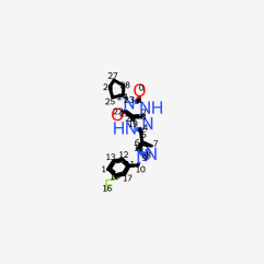 O=c1[nH]c2nc(-c3cnn(Cc4cccc(F)c4)c3)[nH]c2c(=O)n1C1CCCC1